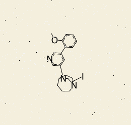 COc1ccccc1-c1cncc(N2CC(I)N3CCCC2CC3)c1